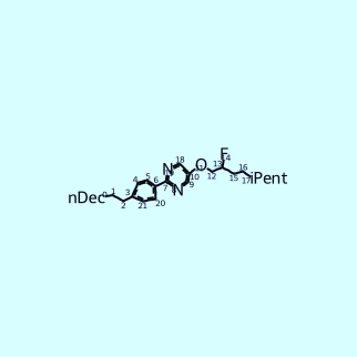 CCCCCCCCCCCCc1ccc(-c2ncc(OCC(F)CCC(C)CCC)cn2)cc1